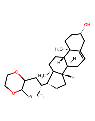 CC(C)C1OCCOC1C[C@@H](C)[C@H]1CC[C@H]2[C@@H]3CC=C4C[C@@H](O)CC[C@]4(C)[C@H]3CC[C@]12C